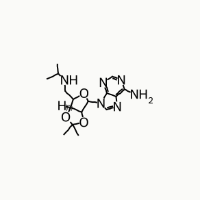 CC(C)NCC1OC(n2cnc3c(N)ncnc32)C2OC(C)(C)O[C@H]12